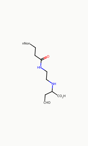 CCCCCCCCCCCC(=O)NCCNC(CC=O)C(=O)O